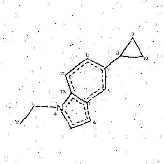 CCn1ccc2cc(C3CC3)ccc21